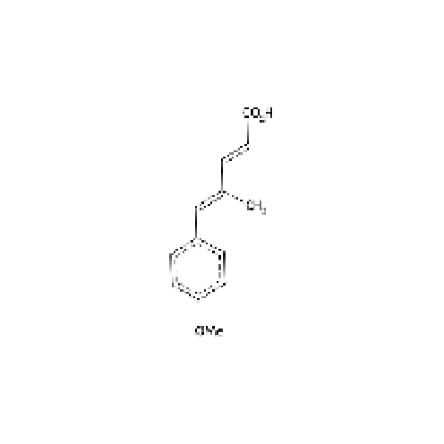 COc1ccc(/C=C(C)/C=C/C(=O)O)cc1